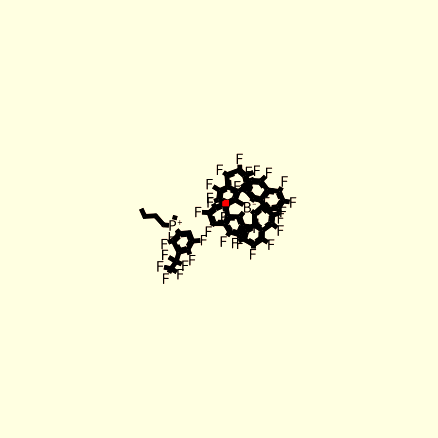 CCCC[PH+](C)c1cc(F)c(F)c(C(F)(F)C(F)(F)F)c1F.Fc1cc2c([B-](c3c(F)c(F)c(F)c4c(F)c(F)c(F)cc34)(c3c(F)c(F)c(F)c4c(F)c(F)c(F)cc34)c3c(F)c(F)c(F)c4c(F)c(F)c(F)cc34)c(F)c(F)c(F)c2c(F)c1F